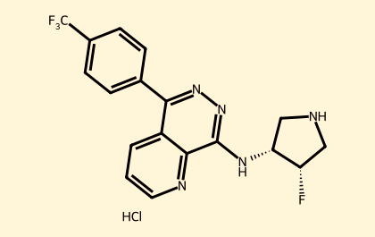 Cl.F[C@H]1CNC[C@H]1Nc1nnc(-c2ccc(C(F)(F)F)cc2)c2cccnc12